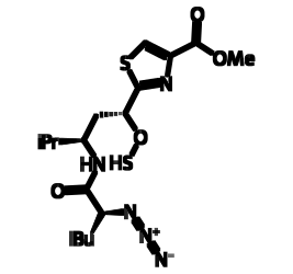 CC[C@H](C)[C@H](N=[N+]=[N-])C(=O)N[C@H](C[C@@H](OS)c1nc(C(=O)OC)cs1)C(C)C